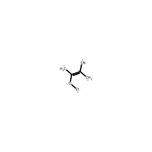 CCOC(C)=C(C)C#N